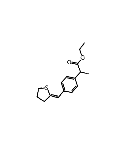 CCOC(=O)C(C)c1ccc(C=C2CCCS2)cc1